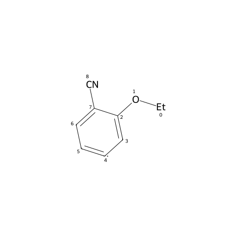 CCOc1c[c]ccc1C#N